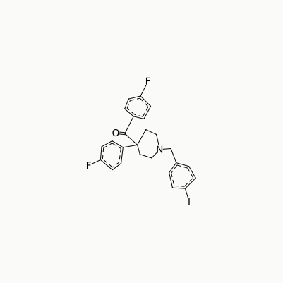 O=C(c1ccc(F)cc1)C1(c2ccc(F)cc2)CCN(Cc2ccc(I)cc2)CC1